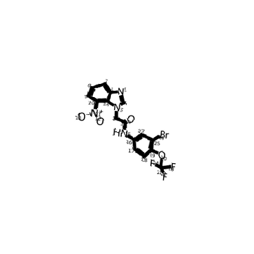 O=C(Cn1cnc2cccc([N+](=O)[O-])c21)Nc1ccc(OC(F)(F)F)c(Br)c1